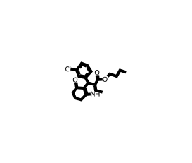 CCCCOC(=O)C1=C(C)NC2=C(C(=O)CCC2)C1c1cccc(Cl)c1